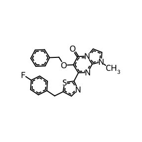 Cn1ccn2c(=O)c(OCc3ccccc3)c(-c3ncc(Cc4ccc(F)cc4)s3)nc12